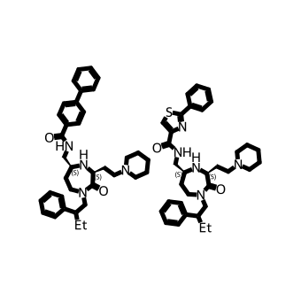 CCC(CN1CC[C@@H](CNC(=O)c2ccc(-c3ccccc3)cc2)N[C@@H](CCN2CCCCC2)C1=O)c1ccccc1.CCC(CN1CC[C@@H](CNC(=O)c2csc(-c3ccccc3)n2)N[C@@H](CCN2CCCCC2)C1=O)c1ccccc1